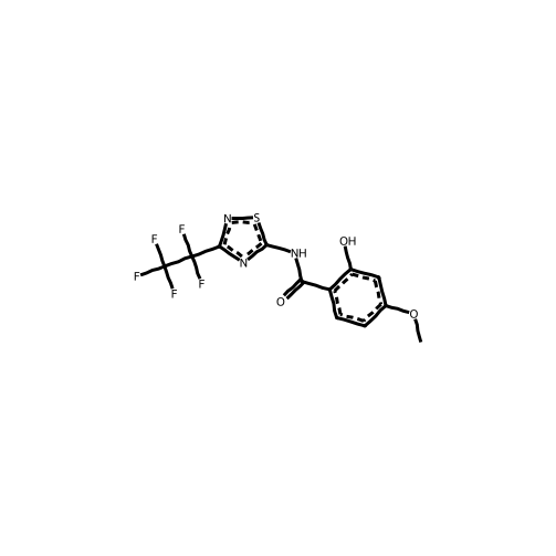 COc1ccc(C(=O)Nc2nc(C(F)(F)C(F)(F)F)ns2)c(O)c1